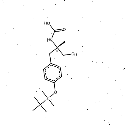 CC(C)(C)[Si](C)(C)Oc1ccc(C[C@@](C)(CO)NC(=O)O)cc1